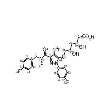 CC(C)c1c(C(=O)N(F)Cc2ccc(F)cc2)nn(-c2ccc(F)cc2)c1OC[C@@H](O)C[C@@H](O)CC(=O)O